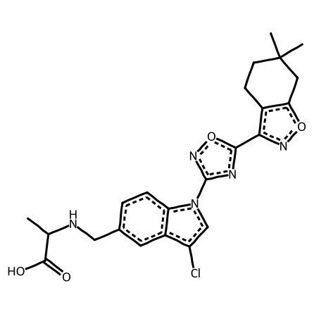 CC(NCc1ccc2c(c1)c(Cl)cn2-c1noc(-c2noc3c2CCC(C)(C)C3)n1)C(=O)O